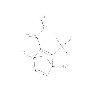 CNC(=O)C1=C(C(F)(F)F)C2(N)C=CC1(N)O2